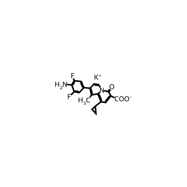 Cc1c(-c2cc(F)c(N)c(F)c2)ccn2c(=O)c(C(=O)[O-])cc(C3CC3)c12.[K+]